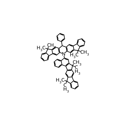 CC1(C)c2ccccc2-c2cc3c(cc21)-c1c(cc(N2c4cc5c(cc4C(c4ccccc4)c4cc6c(cc42)C(C)(C)c2ccccc2-6)C(C)(C)c2ccccc2-5)c2ccccc12)C3(C)C